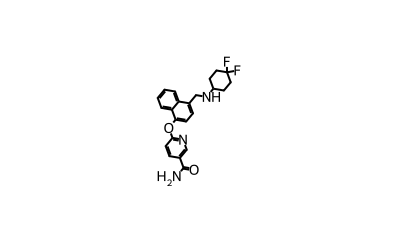 NC(=O)c1ccc(Oc2ccc(CNC3CCC(F)(F)CC3)c3ccccc23)nc1